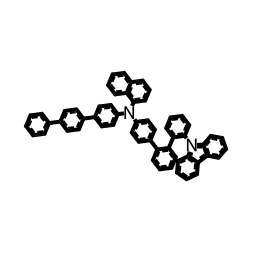 c1ccc(-c2ccc(-c3ccc(N(c4ccc(-c5ccccc5-c5ccccc5-n5c6ccccc6c6ccccc65)cc4)c4cccc5ccccc45)cc3)cc2)cc1